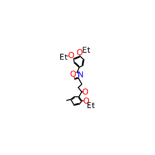 CCOc1ccc(-c2nc(CCC(=O)c3cc(C)ccc3OCC)co2)cc1OCC